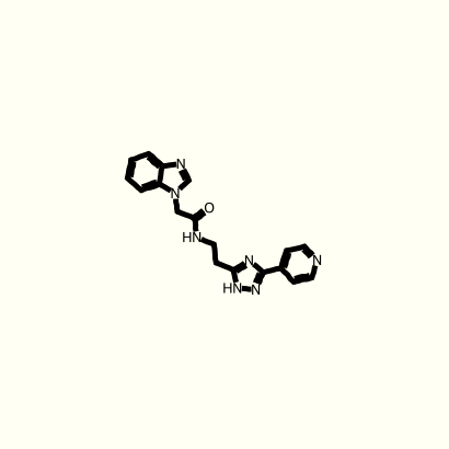 O=C(Cn1cnc2ccccc21)NCCc1nc(-c2ccncc2)n[nH]1